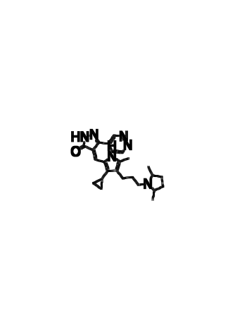 Cc1[nH]c(/C=C2/C(=O)NN=C2c2ccnnc2)c(C2CC2)c1CCCN1C(C)CCC1C